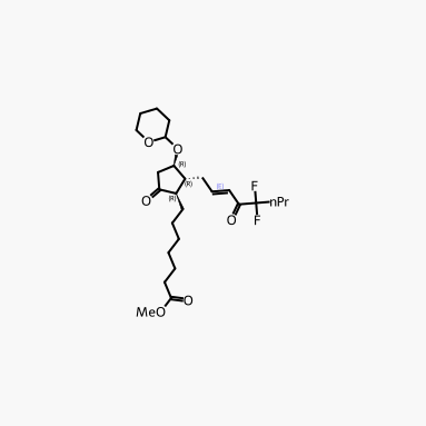 CCCC(F)(F)C(=O)/C=C/C[C@H]1[C@H](OC2CCCCO2)CC(=O)[C@@H]1CCCCCCC(=O)OC